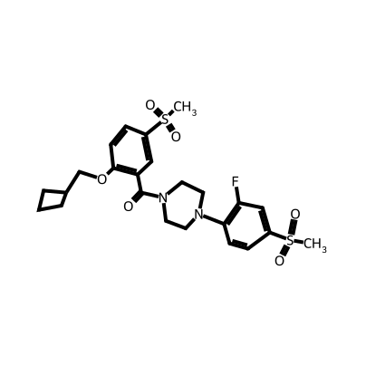 CS(=O)(=O)c1ccc(N2CCN(C(=O)c3cc(S(C)(=O)=O)ccc3OCC3CCC3)CC2)c(F)c1